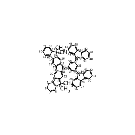 CC1(C)C2=C(CCC=C2)c2cc3c4cc5c(cc4n(-c4cc(-n6c7ccccc7c7ccccc76)cc(-n6c7ccccc7c7ccccc76)c4)c3cc21)C(C)(C)c1ccccc1-5